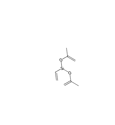 C=C[Si](OC(=C)C)OC(=C)C